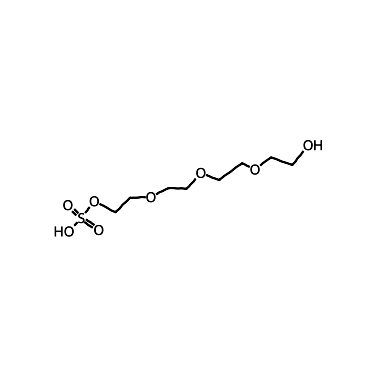 O=S(=O)(O)OCCOCCOCCOCCO